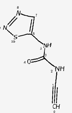 C#CNC(=O)Nc1cnns1